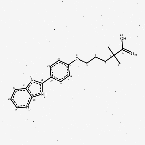 CC(C)(CCCOc1ccc(-c2nc3cccnc3[nH]2)cc1)C(=O)O